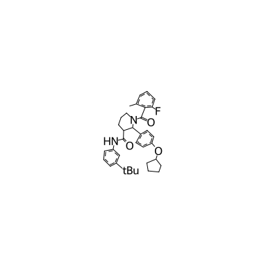 Cc1cccc(F)c1C(=O)N1CCCC(C(=O)Nc2cccc(C(C)(C)C)c2)C1c1ccc(OC2CCCC2)cc1